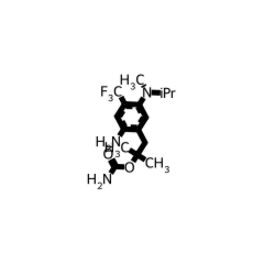 CC(C)N(C)c1cc(CC(C)(C)OC(N)=O)c(N)cc1C(F)(F)F